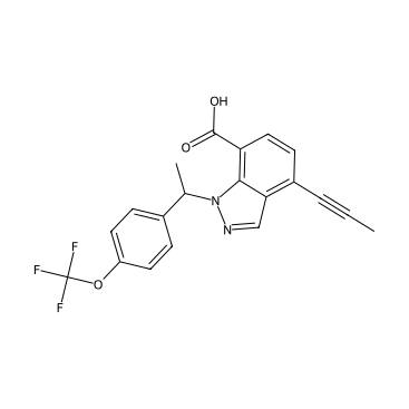 CC#Cc1ccc(C(=O)O)c2c1cnn2C(C)c1ccc(OC(F)(F)F)cc1